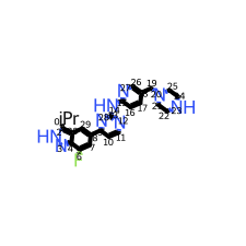 CC(C)c1[nH]nc2c(F)cc(-c3ccnc(Nc4ccc(CN5CCNCC5)cn4)n3)cc12